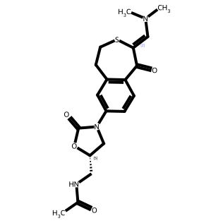 CC(=O)NC[C@H]1CN(c2ccc3c(c2)CCS/C(=C\N(C)C)C3=O)C(=O)O1